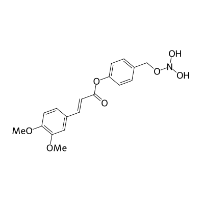 COc1ccc(/C=C/C(=O)Oc2ccc(CON(O)O)cc2)cc1OC